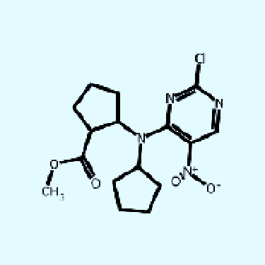 COC(=O)C1CCCC1N(c1nc(Cl)ncc1[N+](=O)[O-])C1CCCC1